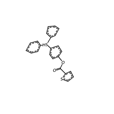 O=C(Oc1ccc([SH](c2ccccc2)c2ccccc2)cc1)c1cccs1